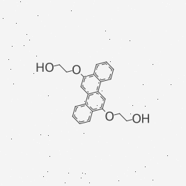 OCCOc1cc2c3ccccc3c(OCCO)cc2c2ccccc12